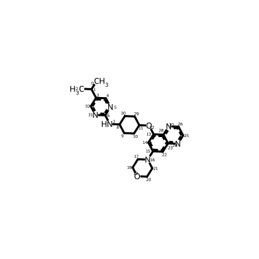 CC(C)c1cnc(NC2CCC(Oc3cc(N4CCOCC4)cc4nccnc34)CC2)nc1